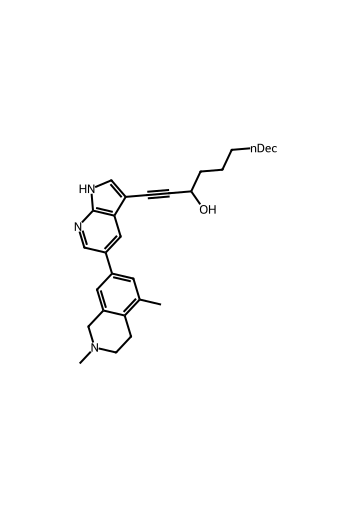 CCCCCCCCCCCCCC(O)C#Cc1c[nH]c2ncc(-c3cc(C)c4c(c3)CN(C)CC4)cc12